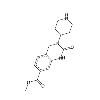 COC(=O)c1ccc2c(c1)NC(=O)N(C1CCNCC1)C2